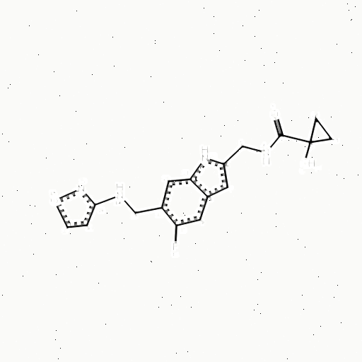 CC1(C(=O)NCc2cc3cc(F)c(CNc4ccon4)cc3[nH]2)CC1